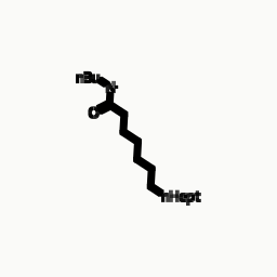 CCCCCCCCCCCCCC(=O)[N]CCCC